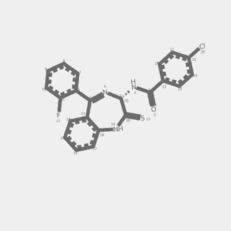 O=C(N[C@H]1N=C(c2ccccc2F)c2ccccc2NC1=S)c1ccc(Cl)cc1